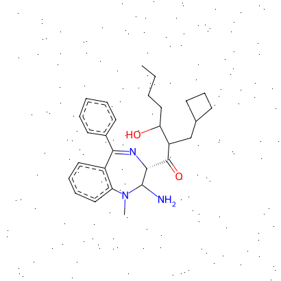 CCCCC(O)C(CC1CCC1)C(=O)[C@H]1N=C(c2ccccc2)c2ccccc2N(C)C1N